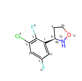 Fc1cc(Cl)c(F)c([C@H]2CCON2)c1